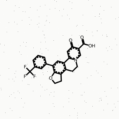 O=C(O)c1cn2c(cc1=O)-c1cc(-c3cccc(C(F)(F)F)c3)c3c(c1CC2)CCO3